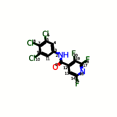 O=C(Nc1cc(Cl)c(Cl)c(Cl)c1)c1cc(F)nc(F)c1F